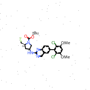 COc1cc(OC)c(Cl)c(-c2ccc3nc(N[C@H]4C[C@@H](CF)N(C(=O)OC(C)(C)C)C4)ncc3c2)c1Cl